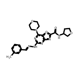 Cc1cccc(/C=N/Nc2nc(N3CCOCC3)c3oc(C(=O)NC4CCOC4)nc3n2)c1